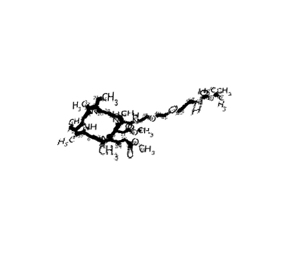 C=Cc1c(C)c2cc3nc(c(CC(=O)OC)c4[nH]c(cc5nc(cc1[nH]2)C(C)=C5CC)c(C)c4C(=O)NCCOCCOCCNC(=O)OC(C)(C)C)C(CCC(=O)OC)C3C